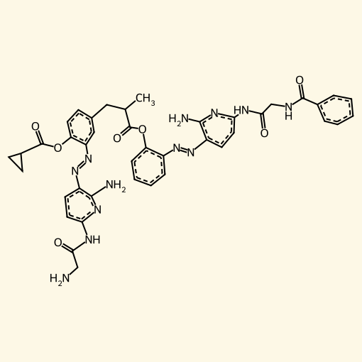 CC(Cc1ccc(OC(=O)C2CC2)c(/N=N/c2ccc(NC(=O)CN)nc2N)c1)C(=O)Oc1ccccc1/N=N/c1ccc(NC(=O)CNC(=O)c2ccccc2)nc1N